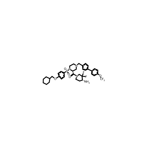 N[C@@H]1CCN(C(=O)[C@@H]2CN(Cc3ccc(-c4ccc(OC(F)(F)F)cc4)cc3)CCN2S(=O)(=O)c2ccc(OCC3CCCCC3)cc2)CC1(F)F